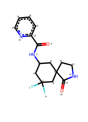 O=C(NC1CC(F)(F)CC2(CCNC2=O)C1)c1ccccn1